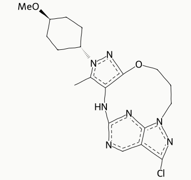 CO[C@H]1CC[C@H](n2nc3c(c2C)Nc2ncc4c(Cl)nn(c4n2)CCCO3)CC1